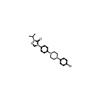 CC(C)n1ncn(-c2ccc(N3CCN(c4ccc(Br)cc4)CC3)cc2)c1=O